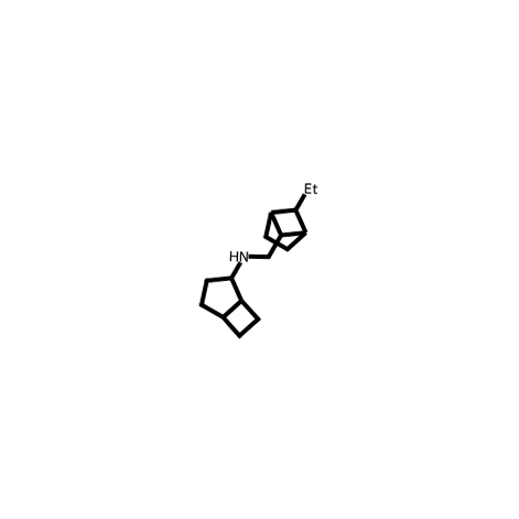 CCC1C2CCC1C2CNC1CCC2CCC21